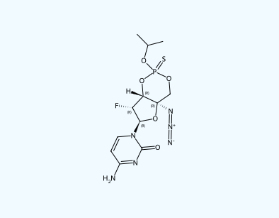 CC(C)OP1(=S)OC[C@@]2(N=[N+]=[N-])O[C@@H](n3ccc(N)nc3=O)[C@H](F)[C@@H]2O1